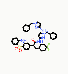 Nc1ccn(Cc2ccccc2)n1.O=C(Nc1ccn(Cc2ccccc2)n1)C(CC1CCC(F)(F)CC1)c1ccc2c(c1)Nc1ccccc1S2(=O)=O